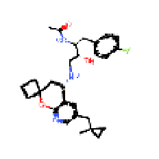 CC(=O)N[C@@H](Cc1ccc(F)cc1)[C@H](O)CN[C@H]1CC2(CCC2)Oc2ncc(CC3(C)CC3)cc21